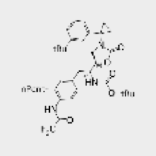 CCCCCc1cc(C[C@H](NC(=O)OC(C)(C)C)[C@H]2CN(C3(c4cccc(C(C)(C)C)c4)CC3)C(=O)O2)ccc1NC(=O)C(F)(F)F